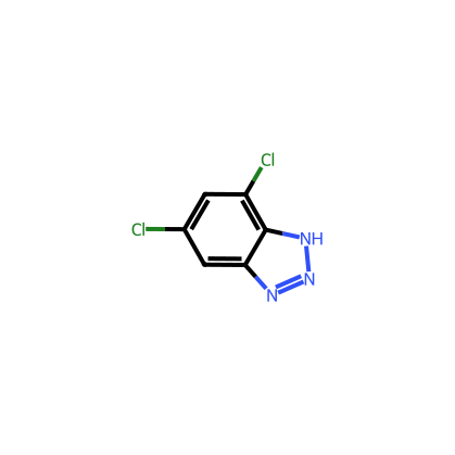 Clc1cc(Cl)c2[nH]nnc2c1